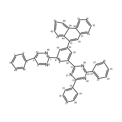 c1ccc(-c2cnc(-c3cc(-c4nc(-c5ccccc5)nc(-c5ccccc5)n4)cc(-c4cc5ccccc5c5ccccc45)c3)nc2)cc1